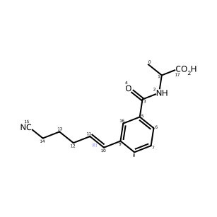 CC(NC(=O)c1cccc(/C=C/CCCC#N)c1)C(=O)O